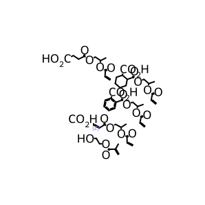 C=C(C)C(=O)OCCO.C=CC(=O)OC(C)COC(=O)/C=C\C(=O)O.C=CC(=O)OC(C)COC(=O)C1CCCCC1C(=O)O.C=CC(=O)OC(C)COC(=O)CCC(=O)O.C=CC(=O)OC(C)COC(=O)c1ccccc1C(=O)O